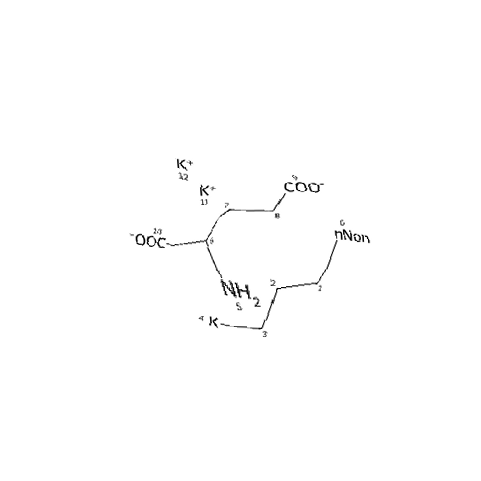 CCCCCCCCCCC[CH2][K].NC(CCC(=O)[O-])C(=O)[O-].[K+].[K+]